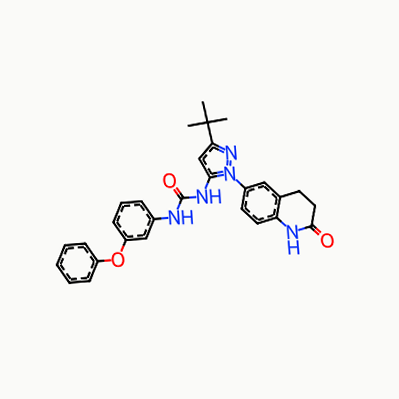 CC(C)(C)c1cc(NC(=O)Nc2cccc(Oc3ccccc3)c2)n(-c2ccc3c(c2)CCC(=O)N3)n1